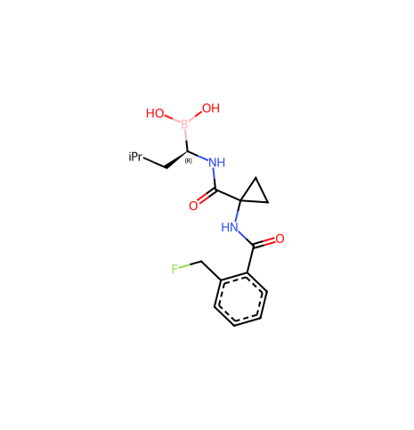 CC(C)C[C@H](NC(=O)C1(NC(=O)c2ccccc2CF)CC1)B(O)O